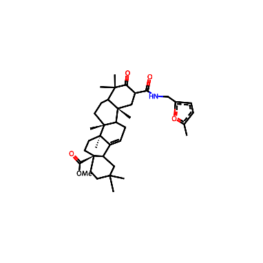 COC(=O)[C@]12CCC(C)(C)CC1C1=CCC3[C@@]4(C)CC(C(=O)NCc5ccc(C)o5)C(=O)C(C)(C)C4CC[C@@]3(C)[C@]1(C)CC2